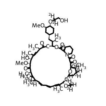 [2H]C([2H])([2H])O[C@H]1C[C@@H]2CC([2H])([2H])[C@@H](C)[C@@](O)(O2)C(=O)C(=O)N2CCCC[C@H]2C(=O)O[C@H]([C@H](C)C[C@@H]2CC[C@@H](OC([2H])([2H])CO)[C@H](OC)C2)CC(=O)[C@H](C)/C=C(\C)[C@@H](O)[C@@H](OC)C(=O)[C@H](C)C([2H])(C)[C@]([2H])(C)/C=C/C=C/C=C/1C